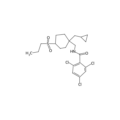 CCCS(=O)(=O)C1CCC(CNC(=O)c2c(Cl)cc(Cl)cc2Cl)(CC2CC2)CC1